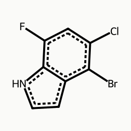 Fc1cc(Cl)c(Br)c2cc[nH]c12